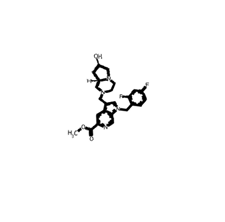 COC(=O)c1cc2c(CN3CCN4C[C@H](O)C[C@H]4C3)cn(Cc3ccc(F)cc3F)c2cn1